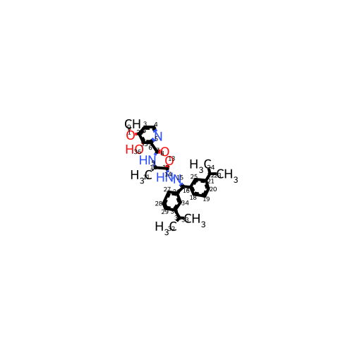 COc1ccnc(C(=O)N[C@@H](C)C(=O)NN=C(c2cccc(C(C)C)c2)c2cccc(C(C)C)c2)c1O